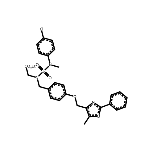 CCOC(=O)CN(Cc1ccc(OCc2nc(-c3ccccc3)oc2C)cc1)S(=O)(=O)N(C)c1ccc(Cl)cc1